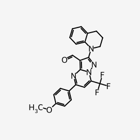 COc1ccc(-c2cc(C(F)(F)F)n3nc(N4CCCc5ccccc54)c(C=O)c3n2)cc1